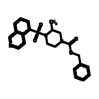 CC1CN(C(=O)OCc2ccccc2)CCN1S(=O)(=O)c1cccc2cnccc12